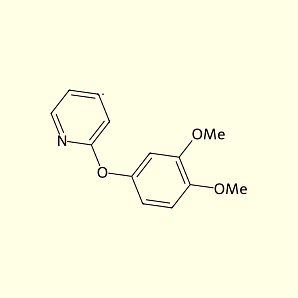 COc1ccc(Oc2c[c]ccn2)cc1OC